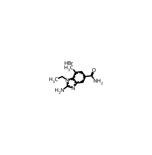 Br.CCn1c(N)nc2cc(C(N)=O)cc(C)c21